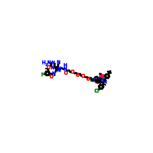 CCOc1cc(C(C)(C)C)ccc1C1=N[C@](C)(c2ccc(Cl)cc2)[C@](C)(c2ccc(Cl)cc2)N1C(=O)N1CCN(CCOCCOCCOCCOCCC(=O)NCCn2nc3c(c2C#N)-c2cnc(N)c(n2)O[C@H](C)c2cc(F)ccc2C(=O)N(C)C3)CC1